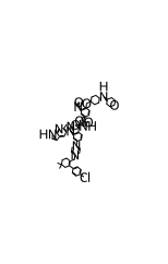 CC1(C)CCC(CN2CCN(c3ccc(C(=O)NS(=O)(=O)c4ccc(OC5CCC(NC6CCOCC6)CC5)c(N=O)c4)c(-n4ncc5nc6[nH]ccc6cc54)c3)CC2)=C(c2ccc(Cl)cc2)C1